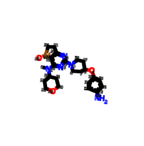 CN(c1nc(N2CCC(Oc3ccc(N)cc3)CC2)nc2c1[S+]([O-])CC2)C1CCOCC1